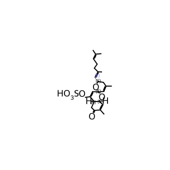 CC(C)=CCC/C(C)=C/[C@@H]1CC(C)=C[C@]2(C=C(COS(=O)(=O)O)[C@H]3CC(=O)C(C)=C[C@H]3O2)O1